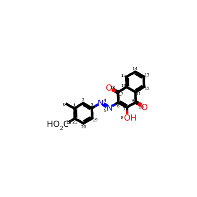 Cc1cc(N=NC2=C(O)C(=O)c3ccccc3C2=O)ccc1C(=O)O